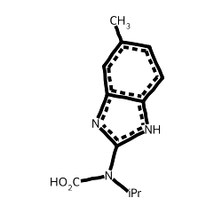 Cc1ccc2[nH]c(N(C(=O)O)C(C)C)nc2c1